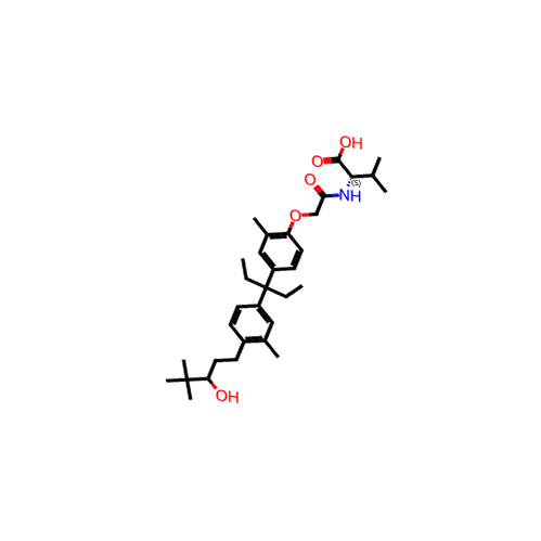 CCC(CC)(c1ccc(CCC(O)C(C)(C)C)c(C)c1)c1ccc(OCC(=O)N[C@H](C(=O)O)C(C)C)c(C)c1